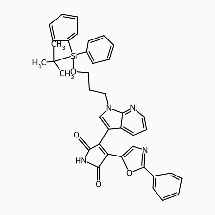 CC(C)(C)[Si](OCCCn1cc(C2=C(c3cnc(-c4ccccc4)o3)C(=O)NC2=O)c2cccnc21)(c1ccccc1)c1ccccc1